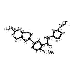 COc1ccc(-c2ccc3nc(N)ncc3c2)cc1C(=O)Nc1cccc(OC(F)(F)F)c1